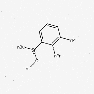 CCC[CH2][SnH]([O]CC)[c]1cccc(CCC)c1CCC